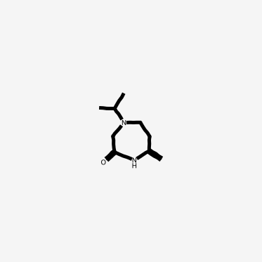 C=C1CCN(C(C)C)CC(=O)N1